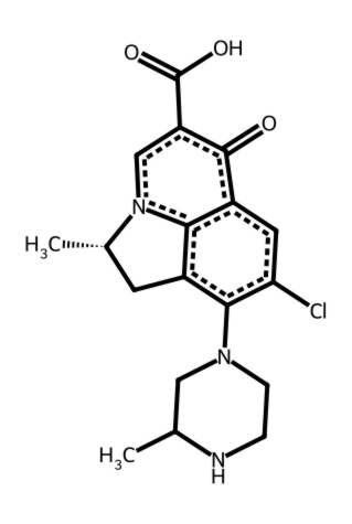 CC1CN(c2c(Cl)cc3c(=O)c(C(=O)O)cn4c3c2C[C@@H]4C)CCN1